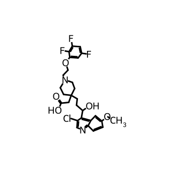 COc1ccc2ncc(Cl)c(C(O)CCC3(CC(=O)O)CCN(CCOc4cc(F)cc(F)c4F)CC3)c2c1